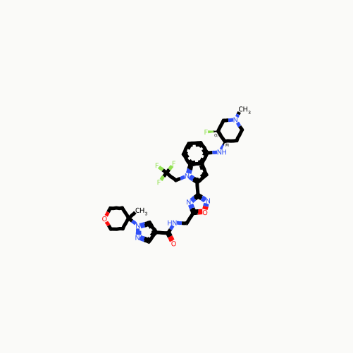 CN1CC[C@@H](Nc2cccc3c2cc(-c2noc(CNC(=O)c4cnn(C5(C)CCOCC5)c4)n2)n3CC(F)(F)F)[C@@H](F)C1